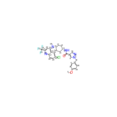 COc1ccc(Cn2cc(C(=O)N[C@H]3CC[C@@H](N(C)c4cc(C(F)(F)F)nc5ccc(Cl)cc45)CC3)cn2)cc1